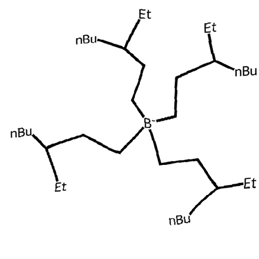 CCCCC(CC)CC[B-](CCC(CC)CCCC)(CCC(CC)CCCC)CCC(CC)CCCC